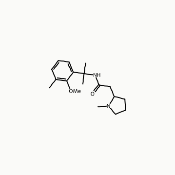 COc1c(C)cccc1C(C)(C)NC(=O)CC1CCCN1C